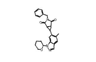 Cc1cc2cnn(C3CCCCO3)c2cc1C1C2C(=O)N(Cc3ccccc3)C(=O)C21